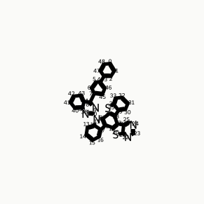 c1ccc(-c2ccc(-c3nc(-n4c5ccccc5c5c6sc7ncncc7c6c6c7ccccc7sc6c54)nc4ccccc34)cc2)cc1